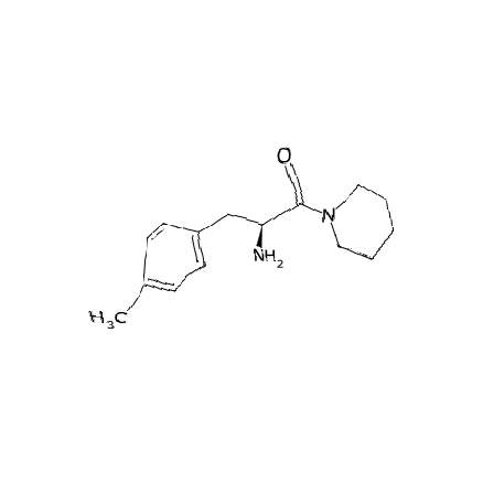 Cc1ccc(C[C@H](N)C(=O)N2CCCCC2)cc1